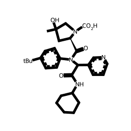 CC1(O)C[C@H](C(=O)N(c2ccc(C(C)(C)C)cc2)C(C(=O)NC2CCCCC2)c2cccnc2)N(C(=O)O)C1